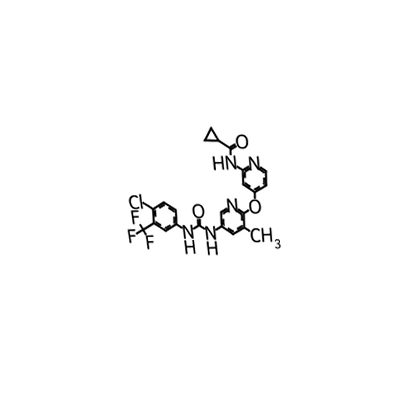 Cc1cc(NC(=O)Nc2ccc(Cl)c(C(F)(F)F)c2)cnc1Oc1ccnc(NC(=O)C2CC2)c1